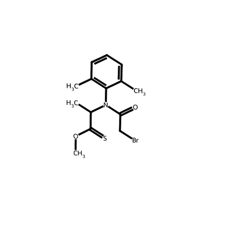 COC(=S)C(C)N(C(=O)CBr)c1c(C)cccc1C